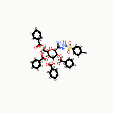 Cc1ccc(S(=O)(=O)NN=C(N)[C@@H]2OC(COC(=O)c3ccccc3)[C@@H](OC(=O)c3ccccc3)C(OC(=O)c3ccccc3)[C@@H]2OC(=O)c2ccccc2)cc1